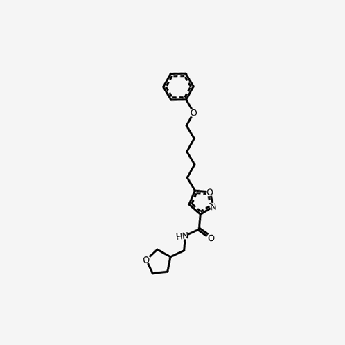 O=C(NCC1CCOC1)c1cc(CCCCCOc2ccccc2)on1